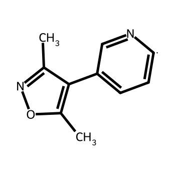 Cc1noc(C)c1-c1cc[c]nc1